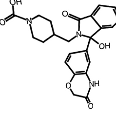 O=C1COc2ccc(C3(O)c4ccccc4C(=O)N3CC3CCN(C(=O)O)CC3)cc2N1